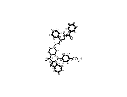 CN(CC(CCN1CCC(C(=O)c2nc3ccccc3n2Cc2ccc(C(=O)O)cc2)CC1)c1ccccc1)C(=O)c1ccccc1